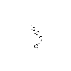 CC1CN([C@@H]2CCN(C(=O)OCc3ccccc3)C2)C[C@H](C)N1C(=O)OC(C)(C)C